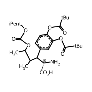 CCCC(C)OC(=O)OC(C)C(C)C(c1ccc(OC(=O)C(C)(C)C)c(OC(=O)C(C)(C)C)c1)[C@H](N)C(=O)O